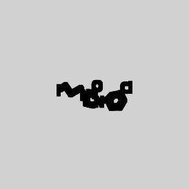 O=C1N(CCCI)CCN1c1cccc(Cl)c1